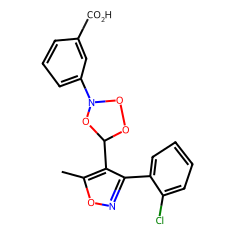 Cc1onc(-c2ccccc2Cl)c1C1OON(c2cccc(C(=O)O)c2)O1